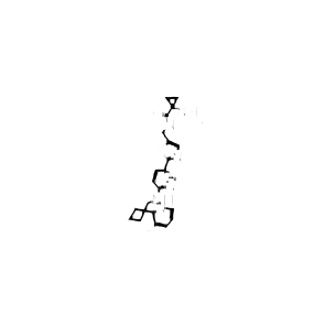 NC1(C(=O)NCc2cnc(-c3ccc(NCC4(c5ncccc5F)CCC4)nn3)s2)CC1